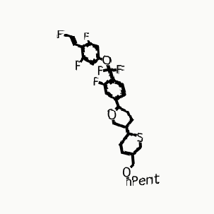 CCCCCOCC1CCC(C2CCC(c3ccc(C(F)(F)Oc4cc(F)c(/C=C/F)c(F)c4)c(F)c3)OC2)SC1